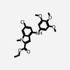 CCOC(=O)c1cc2c(Nc3cc(OC)c(OC)c(OC)c3)cc(Cl)cc2n1C